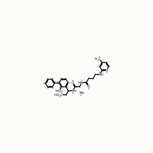 Cc1ccnc(NCCCC(=O)NCC(=O)NC(CC(=O)O)c2cccc(-c3ccccc3)c2O)c1.[Na]